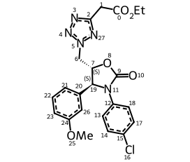 CCOC(=O)Cc1nnn(C[C@@H]2OC(=O)N(c3ccc(Cl)cc3)[C@H]2c2cccc(OC)c2)n1